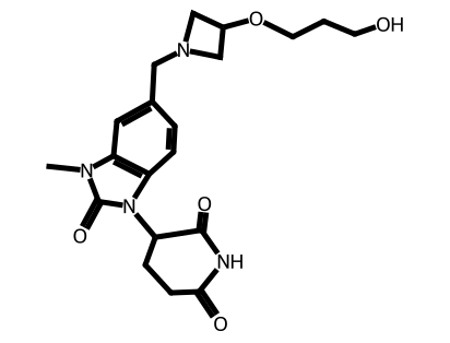 Cn1c(=O)n(C2CCC(=O)NC2=O)c2ccc(CN3CC(OCCCO)C3)cc21